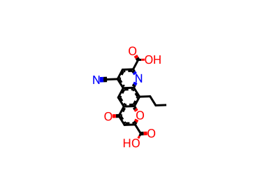 CCCc1c2nc(C(=O)O)cc(C#N)c2cc2c(=O)cc(C(=O)O)oc12